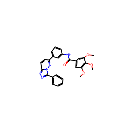 COc1cc(C(=O)Nc2cccc(-c3ccc4nnc(-c5ccccc5)n4n3)c2)cc(OC)c1OC